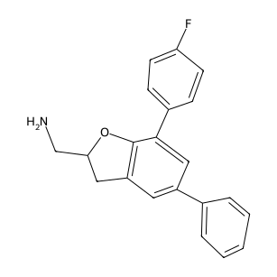 NCC1Cc2cc(-c3ccccc3)cc(-c3ccc(F)cc3)c2O1